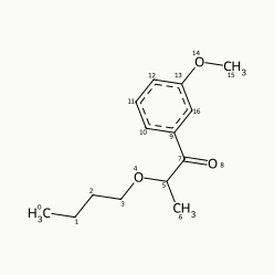 CCCCOC(C)C(=O)c1cccc(OC)c1